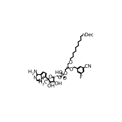 CCCCCCCCCCCCCCCCCCCOC[C@H](COP(=O)(O)OC[C@H]1O[C@@](C)(c2ccc3c(N)ncnn23)[C@H](O)[C@@H]1O)OCc1cc(F)cc(C#N)c1